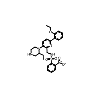 CCOc1ccccc1-c1ccc(N2CCNCC2CC)c(CNS(=O)(=O)c2ccccc2[N+](=O)[O-])n1